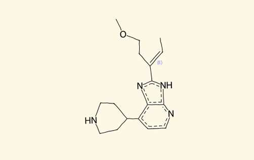 C/C=C(\CCOC)c1nc2c(C3CCNCC3)ccnc2[nH]1